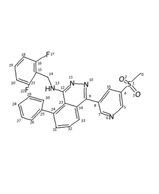 CS(=O)(=O)c1cncc(-c2nnc(NCc3c(F)cccc3F)c3c(-c4ccccc4)cccc23)c1